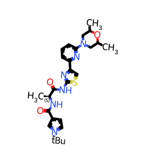 CC1CN(c2cccc(-c3csc(NC(=O)[C@H](C)NC(=O)c4ccn(C(C)(C)C)c4)n3)n2)CC(C)O1